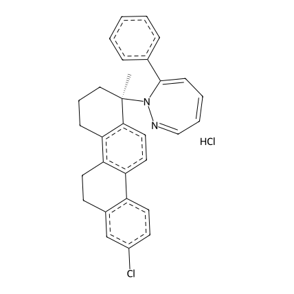 C[C@@]1(N2N=CC=CC=C2c2ccccc2)CCCc2c1ccc1c2CCc2cc(Cl)ccc2-1.Cl